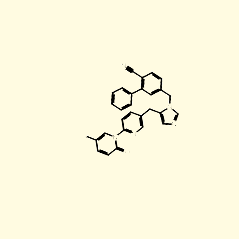 N#Cc1ccc(Cn2cncc2Cc2ccc(-n3cc(Cl)ccc3=O)nc2)cc1-c1ccccc1